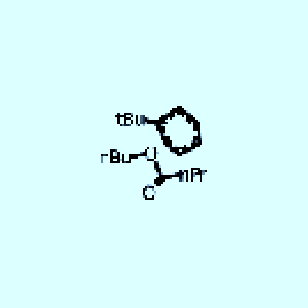 CC(C)(C)c1ccccc1.CCCCOC(=O)CCC